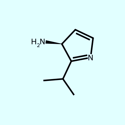 CC(C)C1=NC=C[C@@H]1N